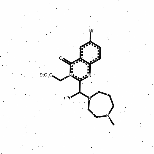 CCCC(c1nc2ccc(Br)cc2c(=O)n1CC(=O)OCC)N1CCCN(C)CC1